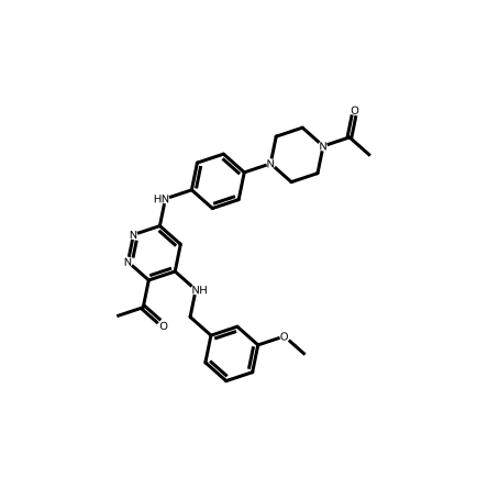 COc1cccc(CNc2cc(Nc3ccc(N4CCN(C(C)=O)CC4)cc3)nnc2C(C)=O)c1